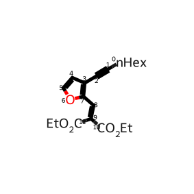 CCCCCCC#Cc1ccoc1C=C(C(=O)OCC)C(=O)OCC